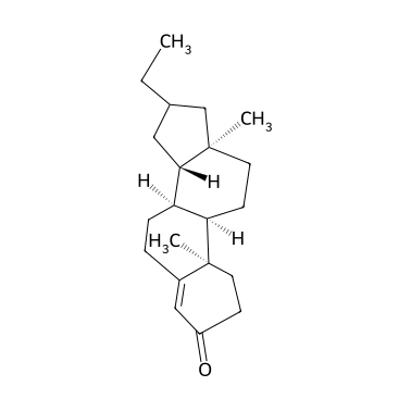 CCC1C[C@H]2[C@@H]3CCC4=CC(=O)CC[C@]4(C)[C@@H]3CC[C@]2(C)C1